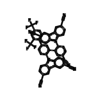 N#Cc1ccc(-n2c3ccc(C#N)cc3c3cc(C#N)ccc32)c(-c2cc(-c3ccc(C(F)(F)F)cc3C(F)(F)F)ccc2-n2c3ccc(C#N)cc3c3cc(C#N)ccc32)c1